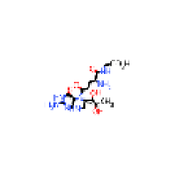 C[C@H](O)[C@H](O)[C@H]1CNc2nc(N)[nH]c(=O)c2N1C(=O)CC[C@@H](N)C(=O)NCC(=O)O